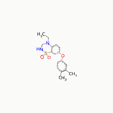 CCN1CNS(=O)(=O)c2cc(Oc3ccc(C)c(C)c3)ccc21